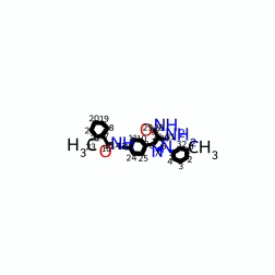 Cc1cccc(-n2nc(-c3ccc(CNC(=O)c4ccccc4C)cc3)c(C(N)=O)c2N)c1